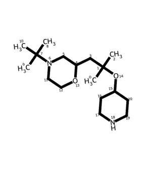 CC(C)(CC1CN(C(C)(C)C)CCO1)OC1CCNCC1